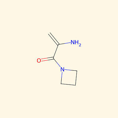 C=C(N)C(=O)N1CCC1